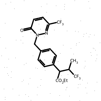 CCOC(=O)C(c1ccc(Cn2nc(C(F)(F)F)ccc2=O)cc1)C(C)C(F)(F)F